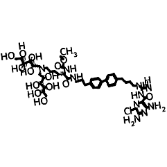 CCOC(=O)N[C@@H](CCCCN(C[C@H](O)[C@@H](O)[C@H](O)[C@H](O)CO)C[C@H](O)[C@@H](O)[C@H](O)[C@H](O)CO)C(=O)NCCCc1ccc(-c2ccc(CCCCNC(=N)NC(=O)c3nc(Cl)c(N)nc3N)cc2)cc1